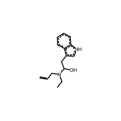 C=CCN(CC)C(O)Cc1c[nH]c2ccccc12